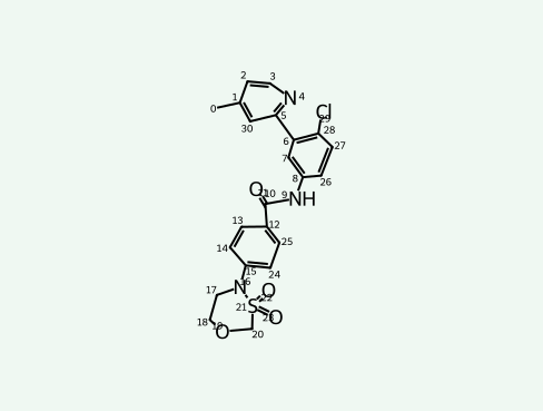 Cc1ccnc(-c2cc(NC(=O)c3ccc(N4CCOCS4(=O)=O)cc3)ccc2Cl)c1